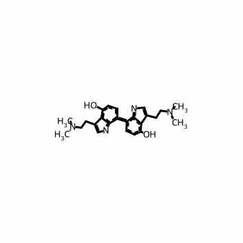 CN(C)CCC1=CN=c2c1c(O)ccc2=c1ccc(O)c2c1=NC=C2CCN(C)C